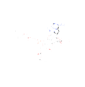 CC(C)OC(=O)OCOP(=O)(OCOC(=O)OC(C)C)OC[C@@H]1O[C@@](C#N)(c2ccc3c(N)ncnn23)[C@@H](C(C)(C)OC(=O)O)[C@H]1C(C)(C)OC(=O)O